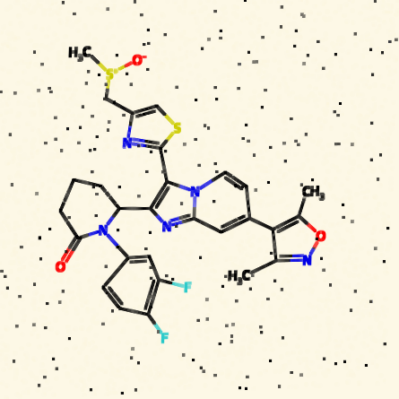 Cc1noc(C)c1-c1ccn2c(-c3nc(C[S+](C)[O-])cs3)c(C3CCCC(=O)N3c3ccc(F)c(F)c3)nc2c1